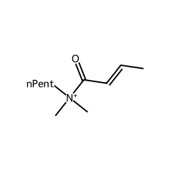 CC=CC(=O)[N+](C)(C)CCCCC